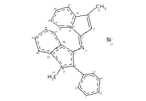 CC1=C/C(=N/c2c(-c3ccccc3)n(C)c3ccccc23)[n+]2ccccc21.[Br-]